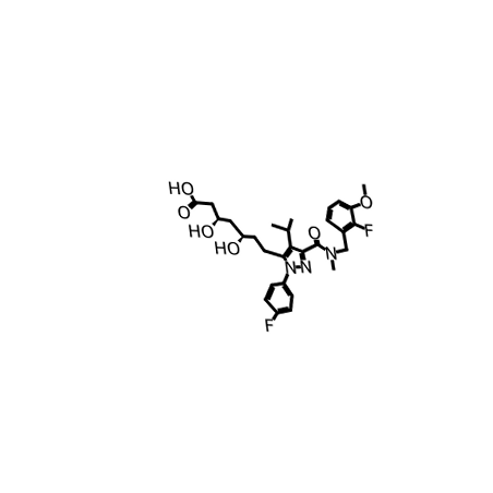 COc1cccc(CN(C)C(=O)c2nn(-c3ccc(F)cc3)c(CC[C@@H](O)C[C@@H](O)CC(=O)O)c2C(C)C)c1F